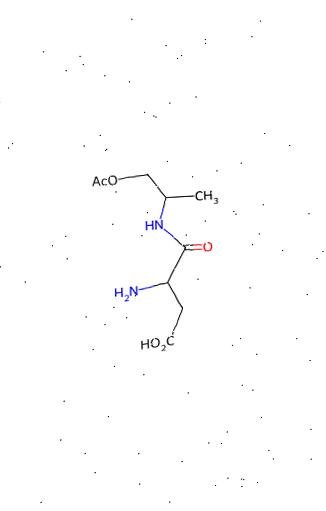 CC(=O)OCC(C)NC(=O)C(N)CC(=O)O